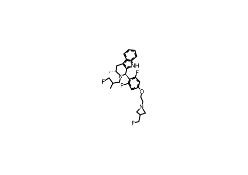 CC(CF)CN1[C@H](c2c(F)cc(OCCN3CC(CF)C3)cc2F)c2[nH]c3ccccc3c2C[C@H]1C